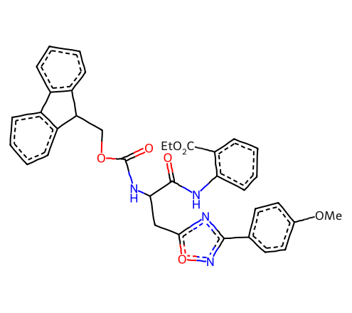 CCOC(=O)c1ccccc1NC(=O)C(Cc1nc(-c2ccc(OC)cc2)no1)NC(=O)OCC1c2ccccc2-c2ccccc21